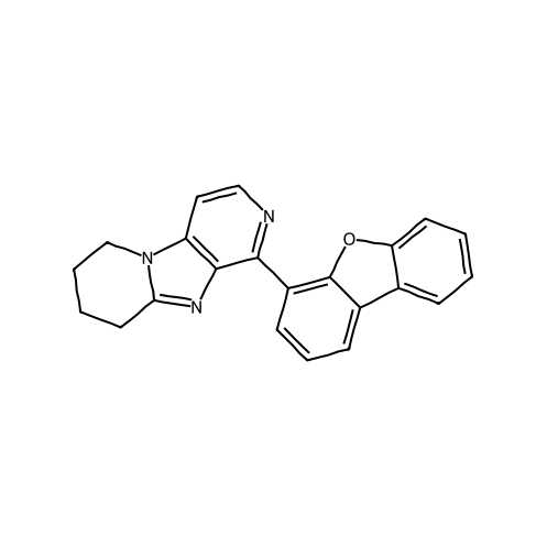 c1ccc2c(c1)oc1c(-c3nccc4c3nc3n4CCCC3)cccc12